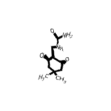 CC1(C)CC(=O)C(=CNC(N)=O)C(=O)C1